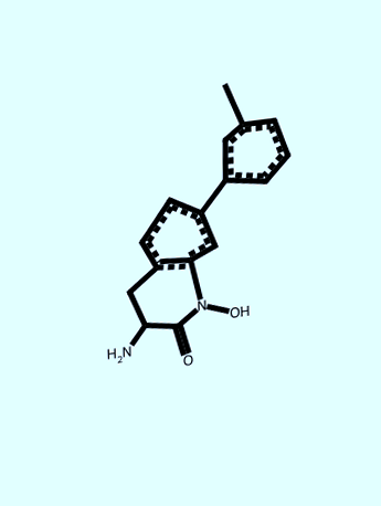 Cc1cccc(-c2ccc3c(c2)N(O)C(=O)C(N)C3)c1